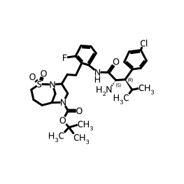 CC(C)[C@H](c1ccc(Cl)cc1)[C@H](N)C(=O)Nc1cccc(F)c1CCC1CN(C(=O)OC(C)(C)C)C2CCCS(=O)(=O)N1C2